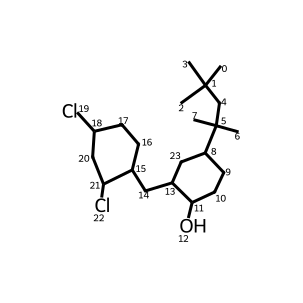 CC(C)(C)CC(C)(C)C1CCC(O)C(CC2CCC(Cl)CC2Cl)C1